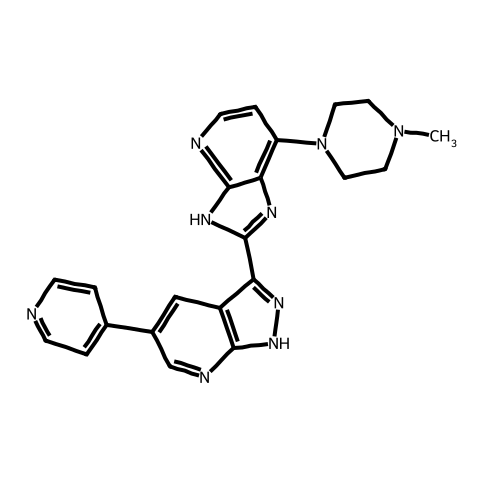 CN1CCN(c2ccnc3[nH]c(-c4n[nH]c5ncc(-c6ccncc6)cc45)nc23)CC1